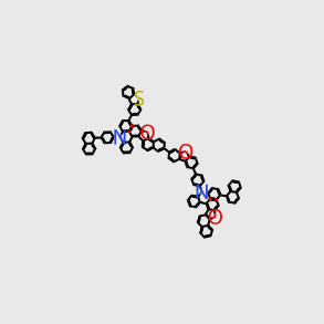 c1ccc(N(c2ccc(-c3ccc4oc5cc(-c6ccc7c(ccc8c7oc7cccc(-c9ccccc9N(c9ccc(-c%10ccc%11sc%12ccccc%12c%11c%10)cc9)c9ccc(-c%10cccc%11ccccc%10%11)cc9)c78)c6)ccc5c4c3)cc2)c2ccc(-c3cccc4ccccc34)cc2)c(-c2cccc3oc4c5ccccc5ccc4c23)c1